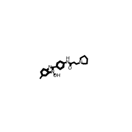 Cc1ccc2nc(-c3ccc(NC(=O)CCN4CCCCC4)cc3)n(O)c2c1